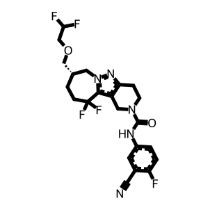 N#Cc1cc(NC(=O)N2CCc3nn4c(c3C2)C(F)(F)CC[C@H](COCC(F)F)C4)ccc1F